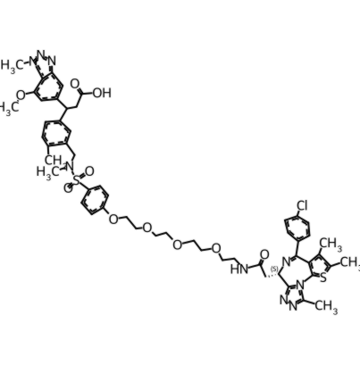 COc1cc(C(CC(=O)O)c2ccc(C)c(CN(C)S(=O)(=O)c3ccc(OCCOCCOCCOCCNC(=O)C[C@@H]4N=C(c5ccc(Cl)cc5)c5c(sc(C)c5C)-n5c(C)nnc54)cc3)c2)cc2nnn(C)c12